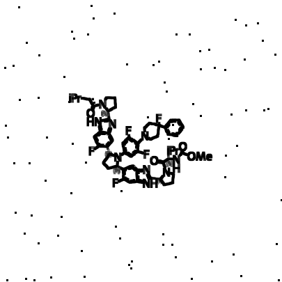 COC(=O)N[C@H](C(=O)N1CCC[C@H]1c1nc2cc([C@H]3CC[C@H](c4cc5nc([C@@H]6CCCN6C(=O)[CH]C(C)C)[nH]c5cc4F)N3c3cc(F)c(N4CCC(F)(c5ccccc5)CC4)c(F)c3)c(F)cc2[nH]1)C(C)C